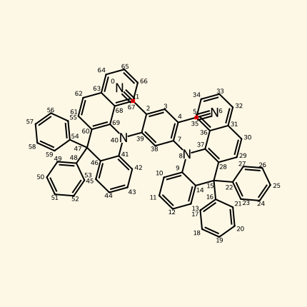 N#Cc1cc(C#N)c(N2c3ccccc3C(c3ccccc3)(c3ccccc3)c3ccc4ccccc4c32)cc1N1c2ccccc2C(c2ccccc2)(c2ccccc2)c2ccc3ccccc3c21